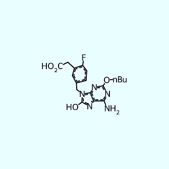 CCCCOc1nc(N)c2nc(O)n(Cc3ccc(F)c(CC(=O)O)c3)c2n1